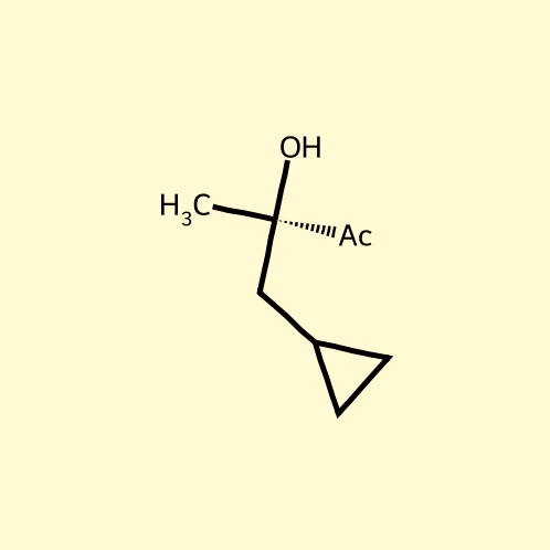 CC(=O)[C@](C)(O)CC1CC1